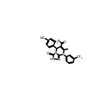 CC1=C(C(N)=O)C(c2ccc(C#N)cc2)n2c(n[nH]c2=O)N1c1cccc(C(F)(F)F)c1